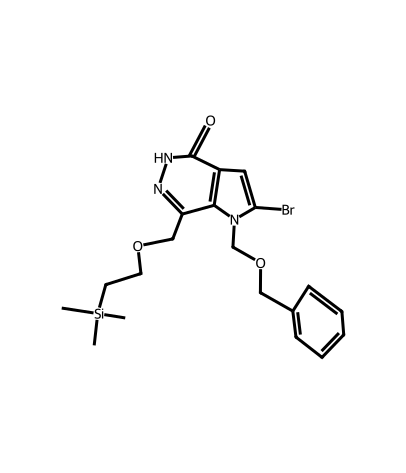 C[Si](C)(C)CCOCc1n[nH]c(=O)c2cc(Br)n(COCc3ccccc3)c12